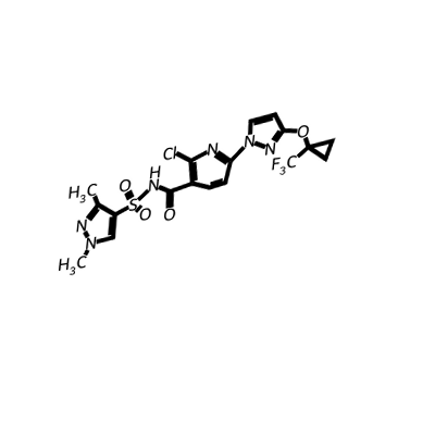 Cc1nn(C)cc1S(=O)(=O)NC(=O)c1ccc(-n2ccc(OC3(C(F)(F)F)CC3)n2)nc1Cl